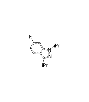 CC(C)c1nn(C(C)C)c2cc(F)ccc12